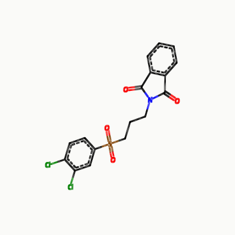 O=C1c2ccccc2C(=O)N1CCCS(=O)(=O)c1ccc(Cl)c(Cl)c1